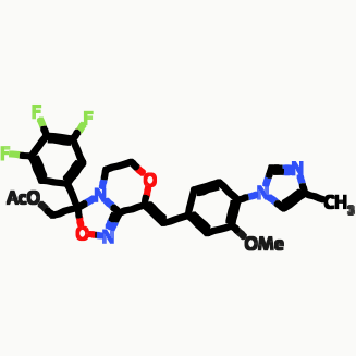 COc1cc(C=C2OCCN3C2=NOC3(COC(C)=O)c2cc(F)c(F)c(F)c2)ccc1-n1cnc(C)c1